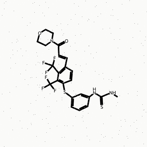 CNC(=S)Nc1cccc(Sc2ccc(/C=C/C(=O)N3CCOCC3)c(C(F)(F)F)c2C(F)(F)F)c1